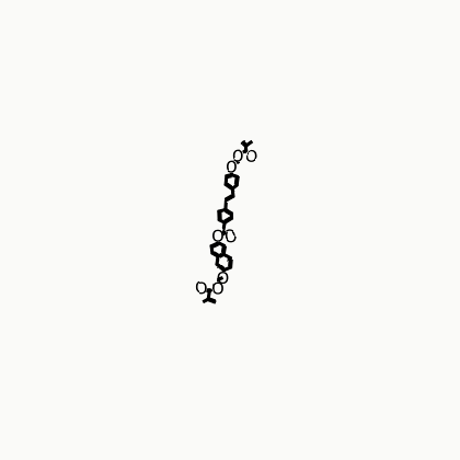 C=C(C)C(=O)OCOc1ccc(/C=C/c2ccc(C(=O)Oc3ccc4cc(OCOC(=O)C(=C)C)ccc4c3)cc2)cc1